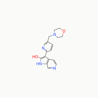 Oc1[nH]c2cnccc2c1-c1ccc(CN2CCOCC2)cn1